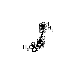 CC(C)C1(OC(=O)C2C3OC4C(OC(=O)C42)C3OC(=O)CCC(=O)OC(C)C(F)(F)S(=O)(=O)O)CCCCC1